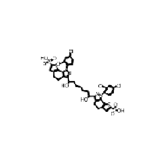 O=S(=O)(O)c1cc2c(s1)-c1c(c(C(O)CCCCCC(O)c3nn(-c4ccc(Cl)cc4Cl)c4c3CCc3cc(S(=O)(=O)O)sc3-4)nn1-c1ccc(Cl)cc1Cl)CC2